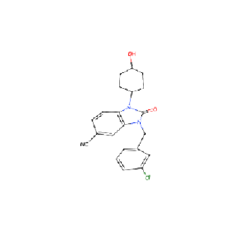 N#Cc1ccc2c(c1)n(Cc1cccc(Cl)c1)c(=O)n2C1CCC(O)CC1